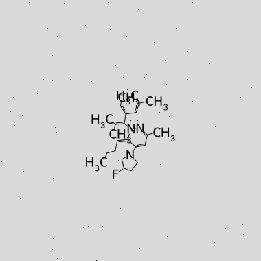 C/C=C(\C=C(C)C)C(=C(C)C)N1N=C(C)C=C(N2CCC(F)C2)/C1=C\CCC